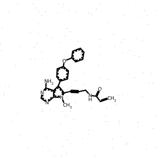 C=CC(=O)NCC#Cc1c(-c2ccc(Oc3ccccc3)cc2)c2c(N)ncnc2n1C